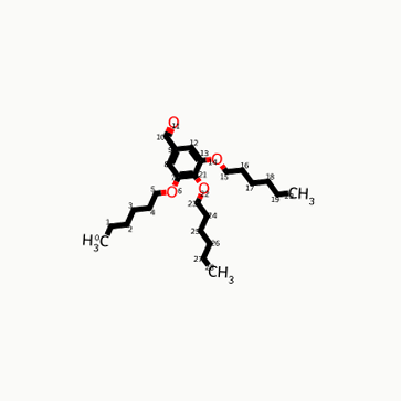 CCCCCCOc1cc(C=O)cc(OCCCCCC)c1OCCCCCC